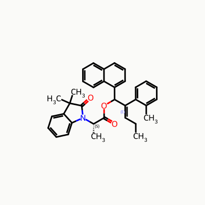 CC/C=C(\c1ccccc1C)C(OC(=O)[C@H](C)N1C(=O)C(C)(C)c2ccccc21)c1cccc2ccccc12